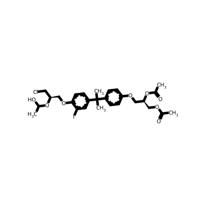 CC(=O)OC[C@@H](COc1ccc(C(C)(C)c2ccc(OC[C@H](CCl)OC(C)O)c(I)c2)cc1)OC(C)=O